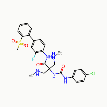 CCNCC(CNCC)(NC(=O)Nc1ccc(Cl)cc1)C(=O)Nc1ccc(-c2ccccc2S(C)(=O)=O)cc1F